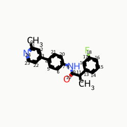 Cc1cc(-c2ccc(NC(=O)C(C)c3cccc(F)c3)cc2)ccn1